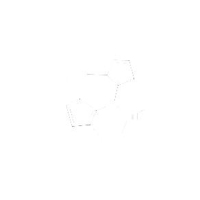 CC1=[C]([Zr+2]([C]2=C(C)C=CC2)[SiH](C)C)CC=C1.[Cl-].[Cl-]